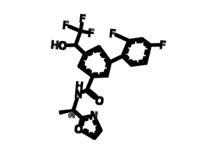 C[C@@H](NC(=O)c1cc(-c2ccc(F)cc2F)cc(C(O)C(F)(F)F)c1)c1ncco1